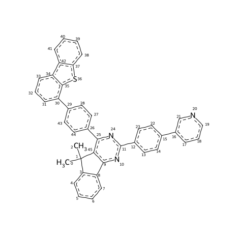 CC1(C)c2ccccc2-c2nc(-c3ccc(-c4cccnc4)cc3)nc(-c3ccc(-c4cccc5c4sc4ccccc45)cc3)c21